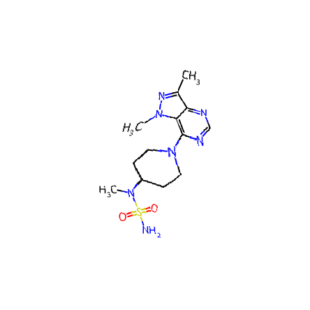 Cc1nn(C)c2c(N3CCC(N(C)S(N)(=O)=O)CC3)ncnc12